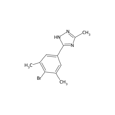 Cc1n[nH]c(-c2cc(C)c(Br)c(C)c2)n1